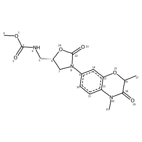 COC(=O)NC[C@H]1CN(c2ccc3c(c2)OC(C)C(=O)N3C)C(=O)O1